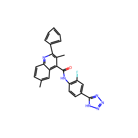 Cc1ccc2nc(-c3ccccc3)c(C)c(C(=O)Nc3ccc(-c4nnn[nH]4)cc3F)c2c1